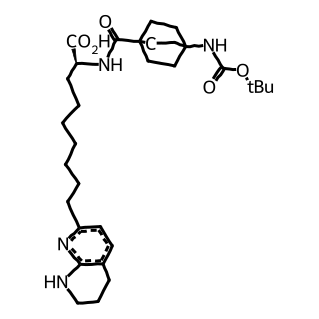 CC(C)(C)OC(=O)NC12CCC(C(=O)N[C@@H](CCCCCCCc3ccc4c(n3)NCCC4)C(=O)O)(CC1)CC2